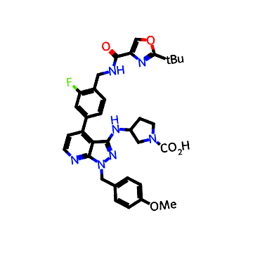 COc1ccc(Cn2nc(NC3CCN(C(=O)O)C3)c3c(-c4ccc(CNC(=O)c5coc(C(C)(C)C)n5)c(F)c4)ccnc32)cc1